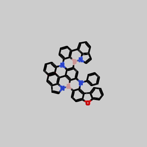 c1ccc(N2c3cccc4c3B(c3cc5c6c(c32)-c2cccc3ccn(c23)B6c2ccc3oc6ccccc6c3c2N5c2ccccc2)n2ccc3cccc-4c32)cc1